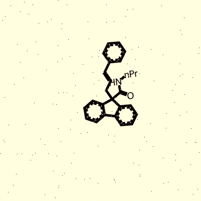 CCCNC(=O)C1(C/C=C/c2ccccc2)c2ccccc2-c2ccccc21